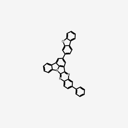 c1ccc(-c2ccc3nc4c(nc3c2)c2cc(-c3ccc5c(c3)oc3ccccc35)cc3c5ccccc5n4c32)cc1